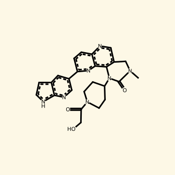 CN1Cc2cnc3ccc(-c4cnc5[nH]ccc5c4)nc3c2N(C2CCN(C(=O)CO)CC2)C1=O